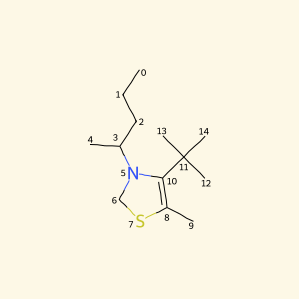 CCCC(C)N1CSC(C)=C1C(C)(C)C